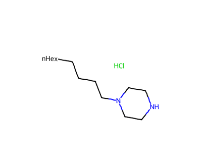 CCCCCCCCCCN1CCNCC1.Cl